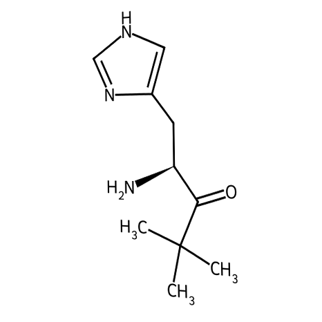 CC(C)(C)C(=O)[C@@H](N)Cc1c[nH]cn1